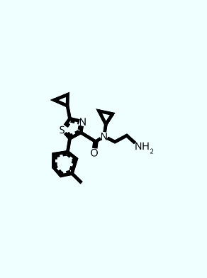 Cc1cccc(-c2sc(C3CC3)nc2C(=O)N(CCN)C2CC2)c1